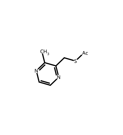 CC(=O)SCc1nccnc1C